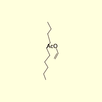 C=COC(C)=O.CCCCCCCCCC